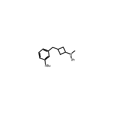 CCCCc1cccc(CC2CC(N(C)C(C)C)C2)c1